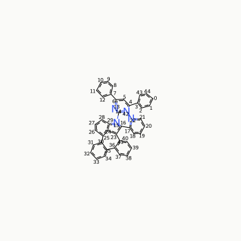 c1ccc(-c2cc(-c3ccccc3)nc(-n3c(-c4ccccn4)c4c5c(cccc53)-c3ccccc3-c3ccccc3-4)n2)cc1